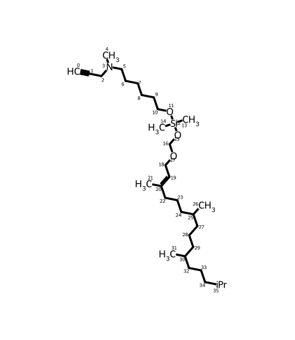 C#CCN(C)CCCCCCO[Si](C)(C)OCOCC=C(C)CCCC(C)CCCC(C)CCCC(C)C